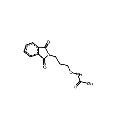 O=C(O)NOCCCN1C(=O)c2ccccc2C1=O